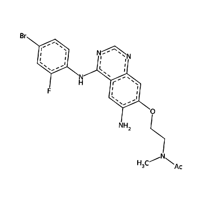 CC(=O)N(C)CCOc1cc2ncnc(Nc3ccc(Br)cc3F)c2cc1N